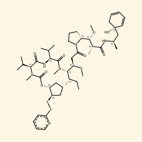 CC[C@H](C)[C@@H]([C@@H](CC(=O)N1CCC[C@@H]1[C@H](OC)[C@@H](C)C(=O)N[C@H](C)C[C@]1(O)C=CC=CC1)OC)N(C)C(=O)[C@@H](NC(=O)[C@H](C(C)C)N(C)C(=O)O[C@@H]1CCC[C@H]1SSc1ccccn1)C(C)C